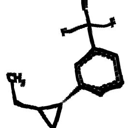 CC[C@@H]1C[C@H]1c1cccc(C(F)(F)F)c1